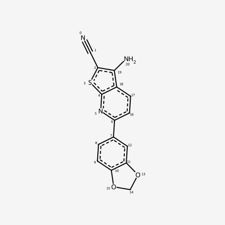 N#Cc1sc2nc(-c3ccc4c(c3)OCO4)ccc2c1N